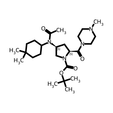 CC(=O)N(C1CCC(C)(C)CC1)[C@H]1C[C@@H](C(=O)N2CCN(C)CC2)N(C(=O)OC(C)(C)C)C1